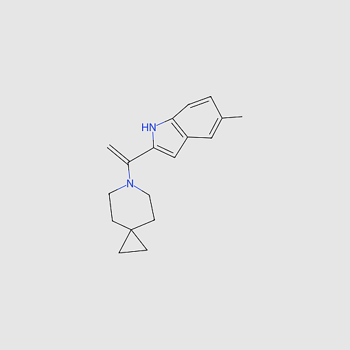 C=C(c1cc2cc(C)ccc2[nH]1)N1CCC2(CC1)CC2